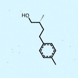 Cc1ccc(CC[C@@H](C)CO)cc1